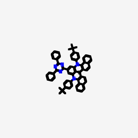 CC(C)(C)c1ccc(N2c3cc(-c4nc(-c5ccccc5)nc(-c5ccccc5)n4)cc4c3B(c3ccc5ccccc5c32)c2ccc3ccccc3c2N4c2ccc(C(C)(C)C)cc2)cc1